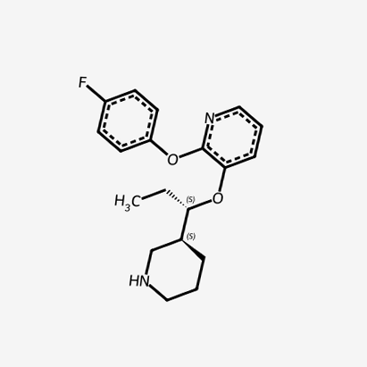 CC[C@H](Oc1cccnc1Oc1ccc(F)cc1)[C@H]1CCCNC1